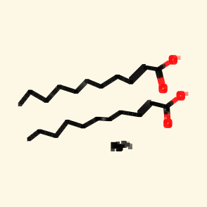 CCCCCCCCC=CC(=O)[O-].CCCCCCCCC=CC(=O)[O-].[Pb+2]